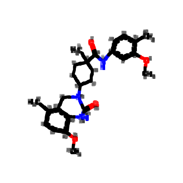 COc1cc(NC(=O)C2(C)CCC(N3Cc4c(C)ccc(OC)c4NC3=O)CC2)ccc1C